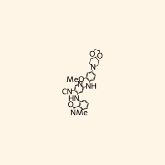 [C-]#[N+]c1cnc(Nc2ccc(N3CCC4(CC3)OCCO4)cc2OC)cc1Nc1ccccc1C(=O)NC